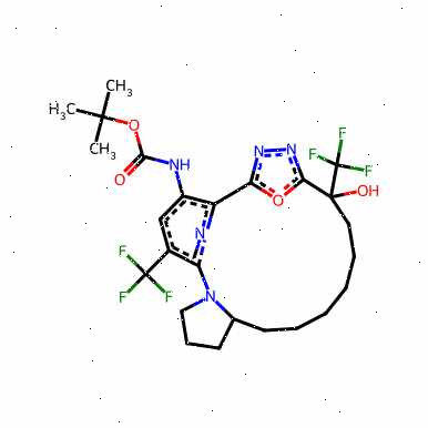 CC(C)(C)OC(=O)Nc1cc(C(F)(F)F)c2nc1-c1nnc(o1)C(O)(C(F)(F)F)CCCCCCC1CCCN21